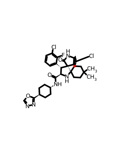 CC1(C)CCC2(CC1)N[C@@H](C(=O)N[C@H]1CC[C@H](c3nnco3)CC1)[C@H](c1cccc(Cl)c1F)[C@]21C(=O)Nc2cc(Cl)ncc21